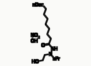 CCCCCCCCCCCCCCCCCC(=O)NN(CCC)CCO.O=[N+]([O-])O